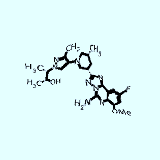 COc1cc(F)cc2c1nc(N)n1nc([C@H]3C[C@@H](C)CN(c4cn([C@@H](C)[C@H](C)O)nc4C)C3)nc21